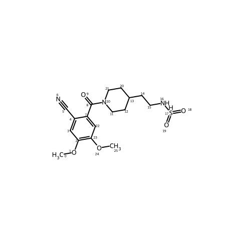 COc1cc(C#N)c(C(=O)N2CCC(CCN[SH](=O)=O)CC2)cc1OC